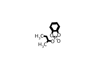 CCC(C)OP1(=O)Oc2ccccc2O1